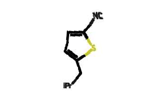 [C-]#[N+]c1ccc(CC(C)C)s1